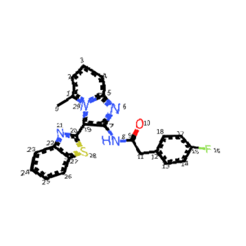 Cc1cccc2nc(NC(=O)Cc3ccc(F)cc3)c(-c3nc4ccccc4s3)n12